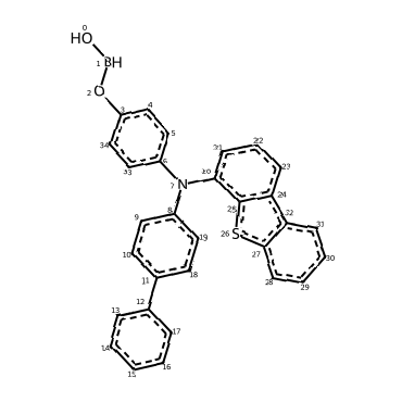 OBOc1ccc(N(c2ccc(-c3ccccc3)cc2)c2cccc3c2sc2ccccc23)cc1